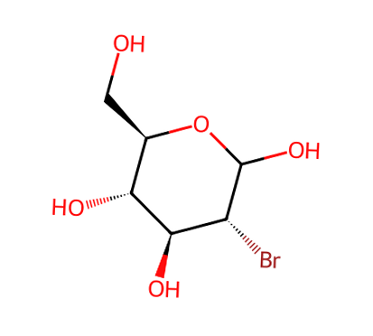 OC[C@H]1OC(O)[C@H](Br)[C@@H](O)[C@@H]1O